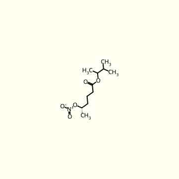 CC(C)C(C)OC(=O)CCC[C@H](C)O[N+](=O)[O-]